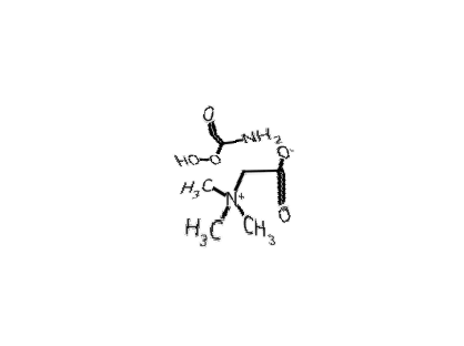 C[N+](C)(C)CC(=O)[O-].NC(=O)OO